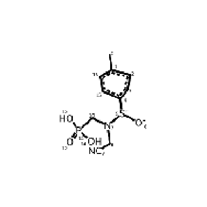 Cc1ccc([S+]([O-])N(CC#N)CP(=O)(O)O)cc1